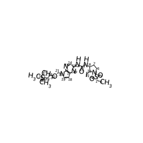 CCS(=O)(=O)N1CCC(NC(=O)Nc2cnc3c(ccn3COCC[Si](C)(C)C)n2)C1I